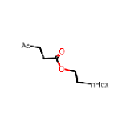 CCCCCCCCOC(=O)CCC(C)=O